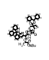 C=C(ON=C(C(=O)NC1C(=O)N2CC(CI)(C(=O)OC(c3ccccc3)c3ccccc3)CS[C@H]12)c1csc(NC(c2ccccc2)(c2ccccc2)c2ccccc2)n1)C(=O)OC(C)(C)C